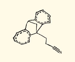 N#CCCC12CC(c3ccccc31)c1ccccc12